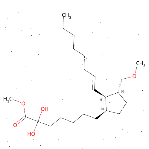 CCCCCCC=C[C@@H]1[C@H](CCCCCC(O)(O)C(=O)OC)CC[C@H]1COC